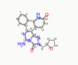 Nc1nc(-c2ccccc2)c(-c2ccc(=O)[nH]c2)c2nn(CC3CCCO3)c(=O)n12